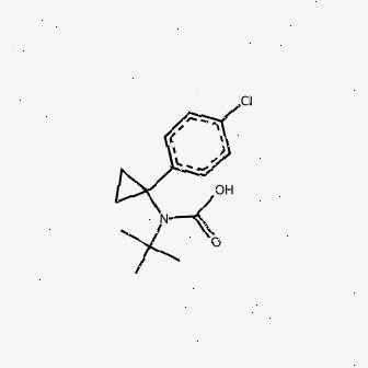 CC(C)(C)N(C(=O)O)C1(c2ccc(Cl)cc2)CC1